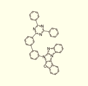 c1ccc(-c2nc(-c3ccccc3)nc(-c3cccc(-c4cccc(-n5c6oc7ccccc7c6n6c7ccccc7nc56)c4)c3)n2)cc1